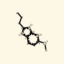 CCCc1nc2ccc(OC)nc2s1